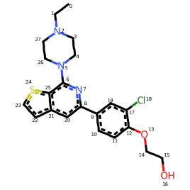 CCN1CCN(c2nc(-c3ccc(OCCO)c(Cl)c3)cc3ccsc23)CC1